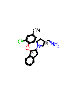 N#Cc1ccc(O[C@@H]2c3ccccc3C[C@H]2N2CC[C@@H](CN)C2)c(Cl)c1